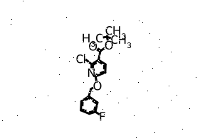 CC(C)(C)OC(=O)c1ccc(OCc2cccc(F)c2)nc1Cl